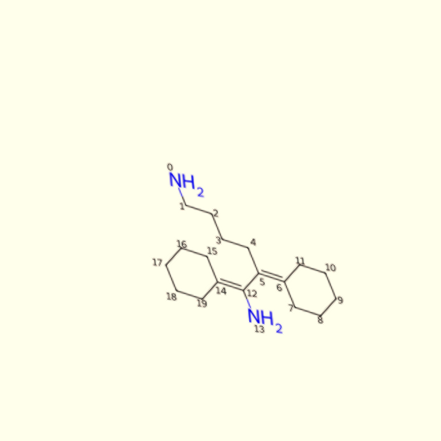 NCCCCC(=C1CCCCC1)C(N)=C1CCCCC1